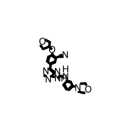 N#Cc1cc(-c2ncnc3[nH]c(Nc4cccc(N5CCOCC5)c4)nc23)ccc1OC1CCOCC1